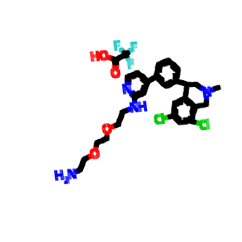 CN1Cc2c(Cl)cc(Cl)cc2C(c2cccc(-c3ccnc(NCCOCCOCCN)c3)c2)C1.O=C(O)C(F)(F)F